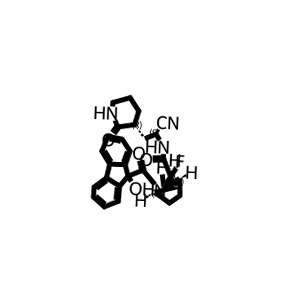 N#C[C@H](C[C@H]1CCCNC1=O)NC(=O)[C@H]1[C@H]2CC[C@H](CC2(F)F)N1C(=O)C1(O)c2ccccc2-c2ccccc21